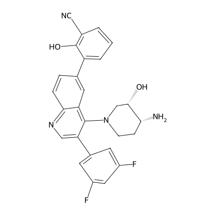 N#Cc1cccc(-c2ccc3ncc(-c4cc(F)cc(F)c4)c(N4CC[C@@H](N)[C@@H](O)C4)c3c2)c1O